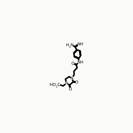 N=C(N)c1ccc(NC(=O)CCCN2CCN(CC(=O)O)C(=O)C2=O)cc1